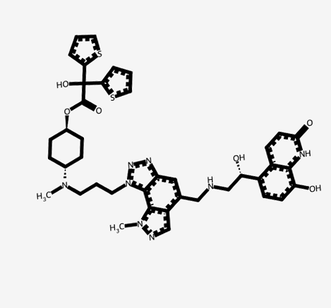 Cn1ncc2c(CNC[C@H](O)c3ccc(O)c4[nH]c(=O)ccc34)cc3nnn(CCCN(C)[C@H]4CC[C@H](OC(=O)C(O)(c5cccs5)c5cccs5)CC4)c3c21